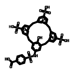 O=C(O)c1ccc(S(=O)(=O)Nc2cc3c(O)c(c2)Cc2cc(S(=O)(=O)O)cc(c2O)Cc2cc(S(=O)(=O)O)cc(c2O)Cc2cc(S(=O)(=O)O)cc(c2O)C3)cc1